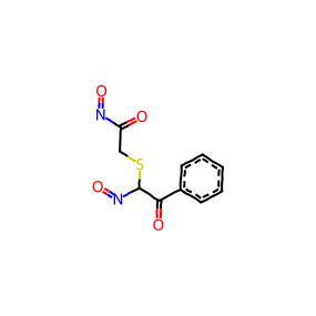 O=NC(=O)CSC(N=O)C(=O)c1ccccc1